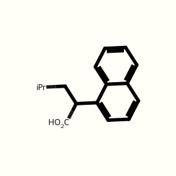 CC(C)CC(C(=O)O)c1cccc2ccccc12